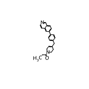 CCC(=O)N1CC=C(Cc2ccc(-c3ccc4cnccc4c3)cc2)CC1